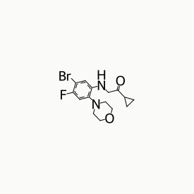 O=C(CNc1cc(Br)c(F)cc1N1CCOCC1)C1CC1